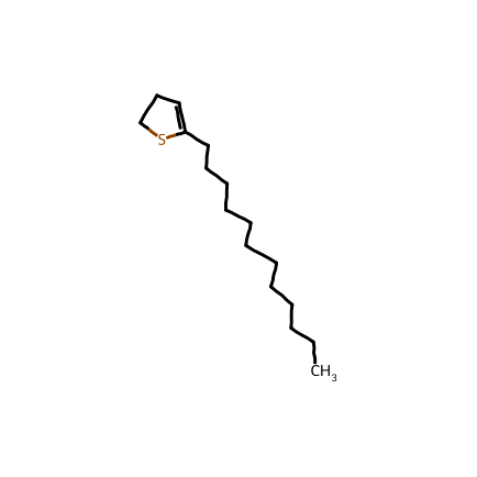 CCCCCCCCCCCCC1=CCCS1